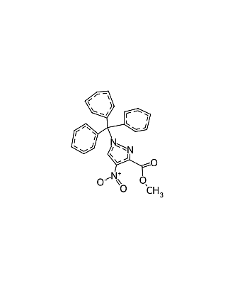 COC(=O)c1nn(C(c2ccccc2)(c2ccccc2)c2ccccc2)cc1[N+](=O)[O-]